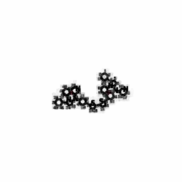 c1ccc(-c2ccc(N(c3ccc(-c4ccc(-c5ccc(-c6ccc(N(c7cccnc7)c7ccc(-c8ccccc8)n7-c7ccccc7)cc6)s5)s4)cc3)c3cccnc3)n2-c2ccccc2)cc1